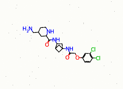 NCC1CCNC(C(=O)NC2CC3(NC(=O)COc4ccc(Cl)c(Cl)c4)CC2C3)C1